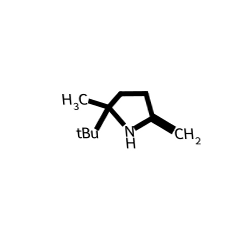 C=C1CCC(C)(C(C)(C)C)N1